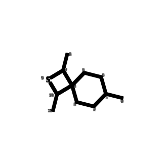 CC1CCC2(CC1)C(C)SC2C